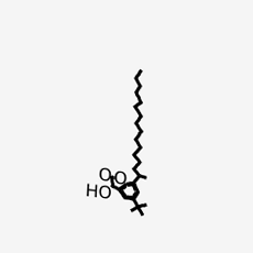 CCCCCCCCCCCCCCC(C)c1cc(C(C)(C)C)cc2c1OC(=O)C2O